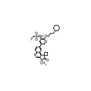 CN1C(=O)C2(CCC2)c2c1cnc1ccc(-c3cnc(OCCCN4CCCCC4)c(NS(=O)(=O)CF)c3)cc21